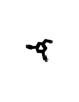 [C-]#[N+]c1cc(C#N)cc(CBr)c1